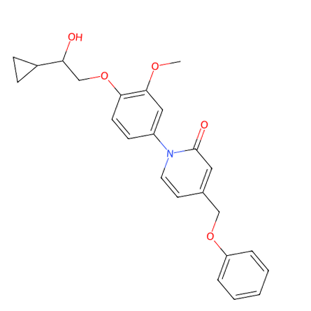 COc1cc(-n2ccc(COc3ccccc3)cc2=O)ccc1OCC(O)C1CC1